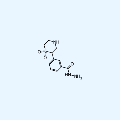 NNC(=O)c1cccc(C2CNCCS2(=O)=O)c1